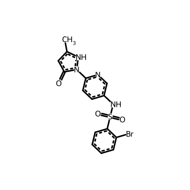 Cc1cc(=O)n(-c2ccc(NS(=O)(=O)c3ccccc3Br)cn2)[nH]1